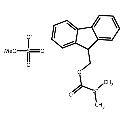 COS(=O)(=O)[O-].C[S+](C)C(=O)OCC1c2ccccc2-c2ccccc21